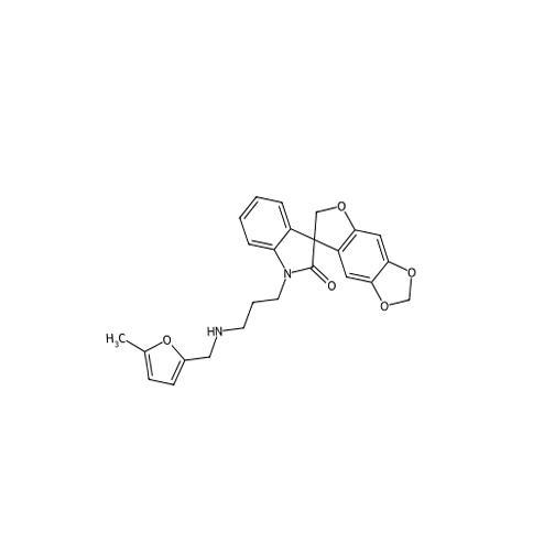 Cc1ccc(CNCCCN2C(=O)C3(COc4cc5c(cc43)OCO5)c3ccccc32)o1